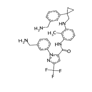 Cc1c(NCC2(c3cccc(CN)c3)CC2)cccc1NC(=O)c1cc(C(F)(F)F)nn1-c1cccc(CN)c1